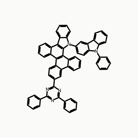 c1ccc(-c2nc(-c3ccccc3)nc(-c3ccc4c(c3)c3ccccc3c3c4c4ccccc4c4c5ccccc5n(-c5ccc6c(c5)c5ccccc5n6-c5ccccc5)c43)n2)cc1